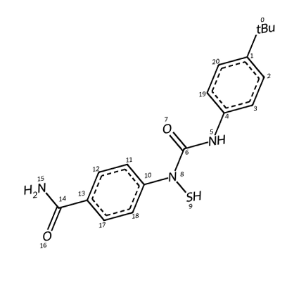 CC(C)(C)c1ccc(NC(=O)N(S)c2ccc(C(N)=O)cc2)cc1